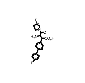 NC(C(=O)N1CC[C@H](F)C1)C(C(=O)O)c1ccc(-c2ccc(F)cc2)cc1